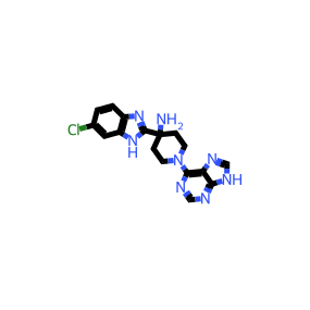 NC1(c2nc3ccc(Cl)cc3[nH]2)CCN(c2ncnc3[nH]cnc23)CC1